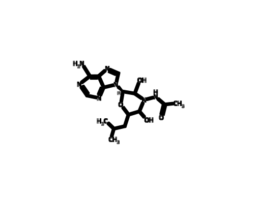 CC(=O)NN1C(O)C(CC(C)C)O[C@@H](n2cnc3c(N)ncnc32)C1O